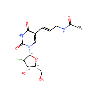 O=C(NC/C=C/c1cn([C@@H]2O[C@H](CO)[C@H](O)C2F)c(=O)[nH]c1=O)C(F)(F)F